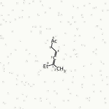 CCC(C)=C=CCC(C)=O